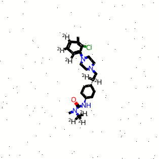 [2H]c1c([2H])c(C)c(Cl)c(N2CCN(CC([2H])([2H])[C@H]3CC[C@H](NC(=O)N(C)C([2H])([2H])[2H])CC3)CC2)c1[2H]